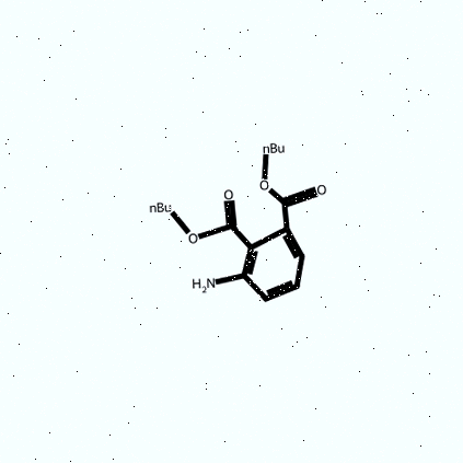 CCCCOC(=O)c1cccc(N)c1C(=O)OCCCC